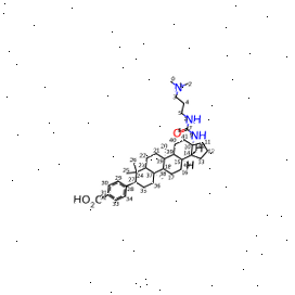 CN(C)CCCNC(=O)N[C@]12CCC[C@@H]1[C@H]1CCC3[C@@](C)(CCC4C(C)(C)[C@H](c5ccc(C(=O)O)cc5)CC[C@@]43C)C1CC2